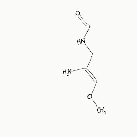 COC=C(N)CNC=O